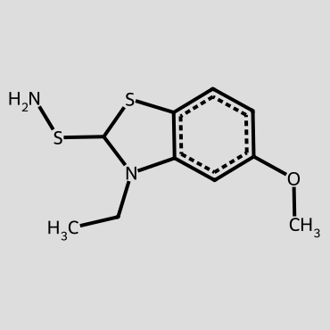 CCN1c2cc(OC)ccc2SC1SN